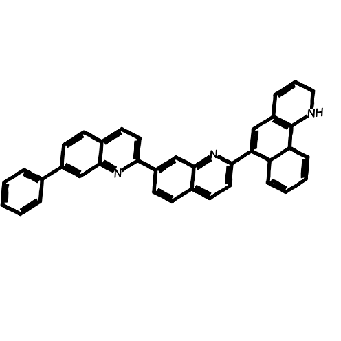 C1=CC2C(c3ccc4ccc(-c5ccc6ccc(-c7ccccc7)cc6n5)cc4n3)=CC3=C(NCC=C3)C2C=C1